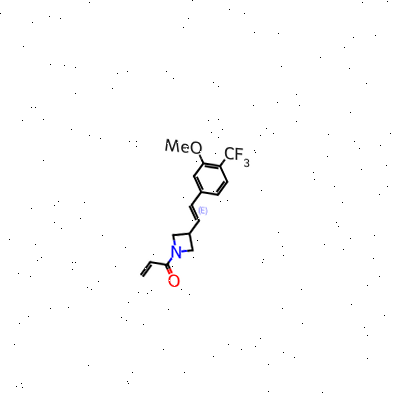 C=CC(=O)N1CC(/C=C/c2ccc(C(F)(F)F)c(OC)c2)C1